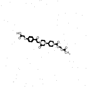 CC(=O)OCOC(=O)N1CCC(N2CCN(CC(=O)c3ccc(OCC(=O)O)cc3)C(=O)C2)CC1